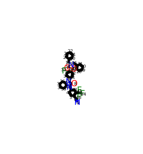 N#Cc1ccc(N2C(=O)N(c3ccc(S(=O)(=O)N(Cc4ccccc4)Cc4ccccc4)c(F)c3)C3CCCCC32)cc1C(F)(F)F